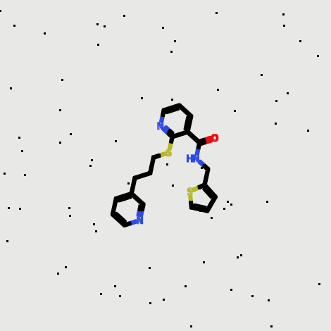 O=C(NCc1cccs1)c1cccnc1SCCCc1cccnc1